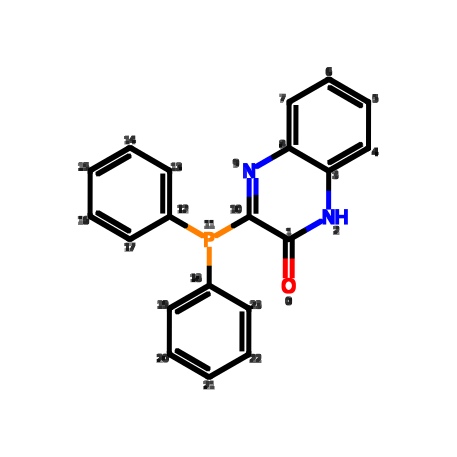 O=c1[nH]c2ccccc2nc1P(c1ccccc1)c1ccccc1